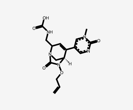 C=CCON1C(=O)N2C[C@H]1C(c1cnc(=O)n(C)c1)=CC2CNC(=O)O